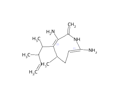 C=CC(C)C(C)/C1=C(\N)C(=C)N/C(N)=C/CC1C